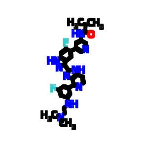 CC(C)C(=O)Nc1cncc(-c2cc3c(-c4nc5c(-c6cc(F)cc(NCCN(C)C)c6)nccc5[nH]4)n[nH]c3cc2F)c1